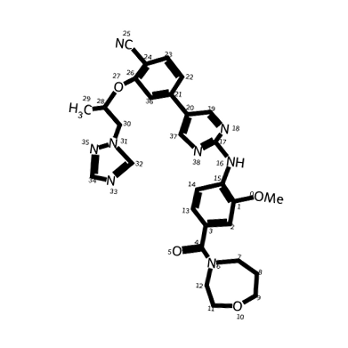 COc1cc(C(=O)N2CCCOCC2)ccc1Nc1ncc(-c2ccc(C#N)c(OC(C)Cn3cncn3)c2)cn1